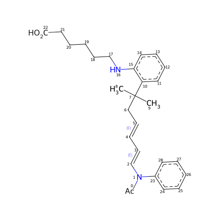 CC(=O)N(/C=C/C=C/CC(C)(C)c1ccccc1NCCCCCC(=O)O)c1ccccc1